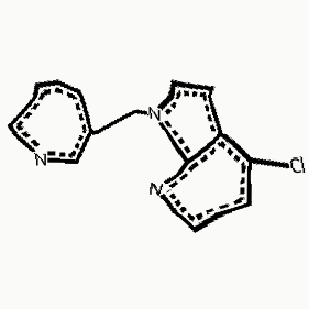 Clc1ccnc2c1ccn2-c1cccnc1